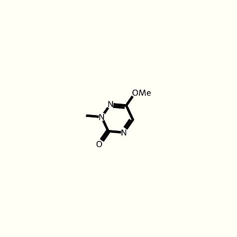 COc1cnc(=O)n(C)n1